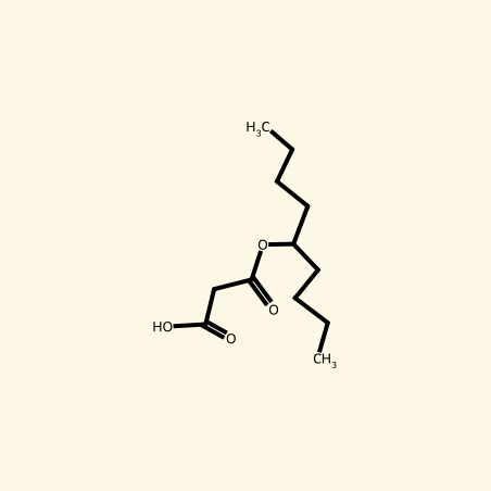 CCCCC(CCCC)OC(=O)CC(=O)O